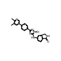 CCn1nc(-c2ccc(-c3cnc(C)c(C)c3)cc2)nc1Nc1ccc2c(c1)CNC2=O